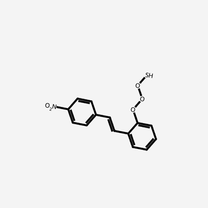 O=[N+]([O-])c1ccc(C=Cc2ccccc2OOOS)cc1